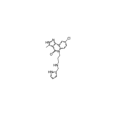 Cc1[nH]nc2c1c(=O)n(CCCNCc1ccc[nH]1)c1ccc(Cl)cc21